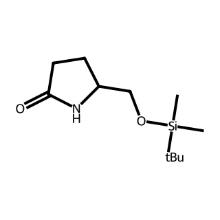 CC(C)(C)[Si](C)(C)OCC1CCC(=O)N1